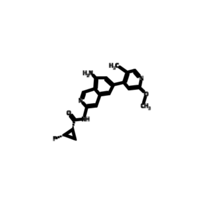 COc1cc(-c2cc(N)c3cnc(NC(=O)[C@@H]4C[C@@H]4F)cc3c2)c(C)cn1